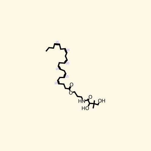 CCC/C=C\C/C=C\C/C=C\C/C=C\C/C=C\C/C=C\CCC(=O)OCCCNC(=O)C(O)C(C)(C)CO